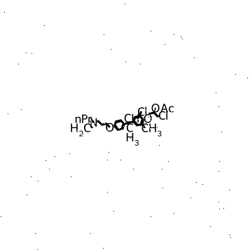 C=CN(CCC)CCCOc1ccc(C(C)(C)c2cc(C)c(OC[C@H](CCl)OC(C)=O)c(Cl)c2)cc1